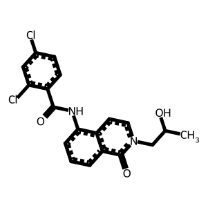 CC(O)Cn1ccc2c(NC(=O)c3ccc(Cl)cc3Cl)cccc2c1=O